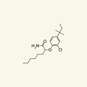 CCCCCCC(Oc1ccc(C(C)(C)CC)cc1Cl)C(N)=O